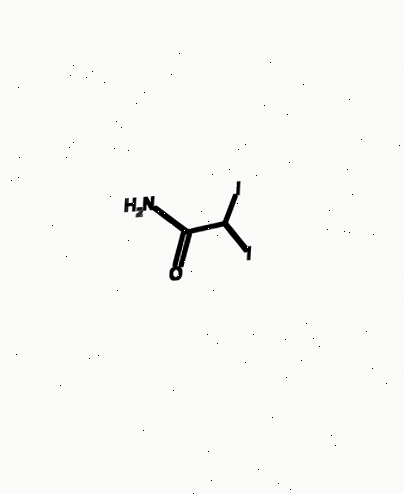 NC(=O)C(I)I